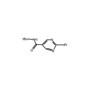 CC(C)c1ncc(C(=O)NC(C)(C)C)cn1